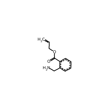 C=CCOC(=O)c1ccccc1CN